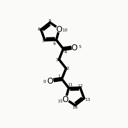 O=C(CCC(=O)c1ccco1)c1ccco1